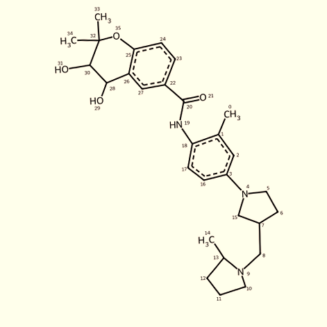 Cc1cc(N2CCC(CN3CCCC3C)C2)ccc1NC(=O)c1ccc2c(c1)C(O)C(O)C(C)(C)O2